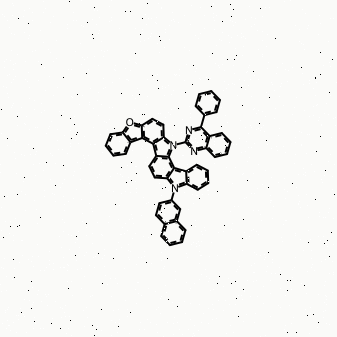 c1ccc(-c2nc(-n3c4ccc5oc6ccccc6c5c4c4ccc5c(c6ccccc6n5-c5ccc6ccccc6c5)c43)nc3ccccc23)cc1